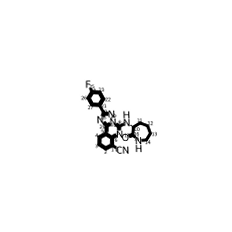 N#Cc1cccc2c1nc(N[C@@H]1CCCCNC1=O)n1nc(-c3ccc(F)cc3)nc21